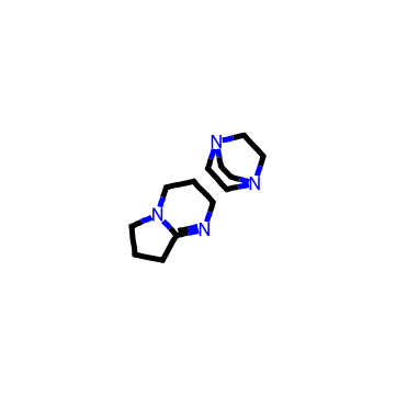 C1CN2CCN1CC2.C1CN=C2CCCN2C1